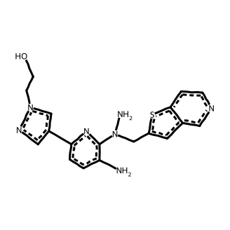 Nc1ccc(-c2cnn(CCO)c2)nc1N(N)Cc1cc2cnccc2s1